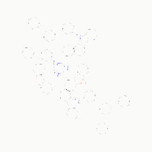 c1ccc(-c2cc(-c3ccccc3)cc(-c3cccc(-n4c5ccccc5c5cc(-c6ccc7oc8cccc(-c9nc(-c%10ccccc%10)nc(-c%10cc(-c%11ccccc%11)cc%11oc%12ccc(-c%13ccc%14c(c%13)c%13ccccc%13n%14-c%13cccc(-c%14cc(-c%15ccccc%15)cc(-c%15ccccc%15)c%14)c%13)cc%12c%10%11)n9)c8c7c6)ccc54)c3)c2)cc1